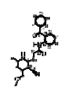 COCC1CC(C)NC(SCC(=O)Nc2ccccc2C(=O)c2ccccc2)C1C#N